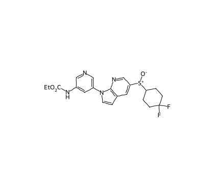 CCOC(=O)Nc1cncc(-n2ccc3cc([S+]([O-])C4CCC(F)(F)CC4)cnc32)c1